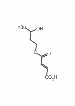 CCCCC(O)CCOC(=O)C=CC(=O)O